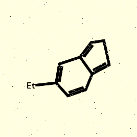 CCc1ccc2c(c1)=CCC=2